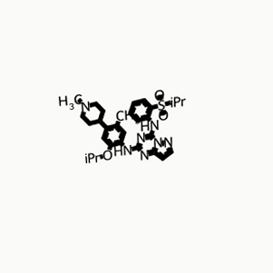 Cc1cc(Nc2nc(Nc3ccccc3S(=O)(=O)C(C)C)n3nccc3n2)c(OC(C)C)cc1C1CCN(C)CC1